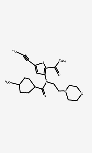 COC(=O)c1sc(C#CC(C)(C)C)cc1N(CCN1CCOCC1)C(=O)C1CCC(C)CC1